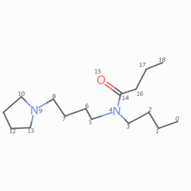 CCCCN(CCCCN1CCCC1)C(=O)CCC